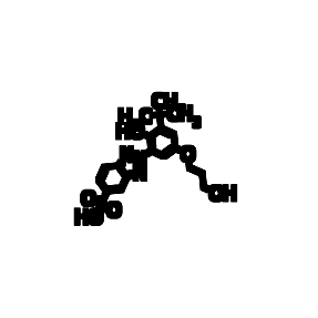 CC(C)(C)c1cc(OCCCO)cc(-n2nc3ccc(S(=O)(=O)O)cc3n2)c1O